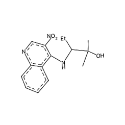 CCC(Nc1c([N+](=O)[O-])cnc2ccccc12)C(C)(C)O